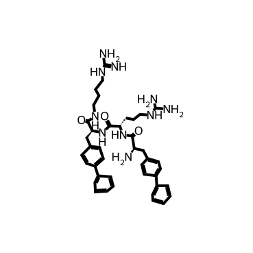 N=C(N)NCCCCNC(=O)[C@H](Cc1ccc(-c2ccccc2)cc1)NC(=O)[C@H](CCCNC(N)N)NC(=O)[C@H](N)Cc1ccc(-c2ccccc2)cc1